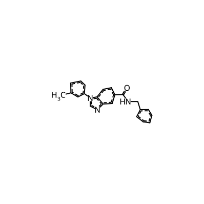 Cc1cccc(-n2cnc3cc(C(=O)NCc4ccccc4)ccc32)c1